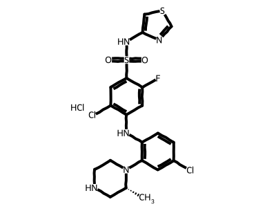 C[C@@H]1CNCCN1c1cc(Cl)ccc1Nc1cc(F)c(S(=O)(=O)Nc2cscn2)cc1Cl.Cl